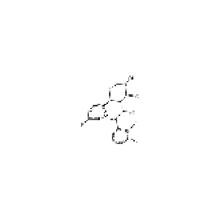 O=C(Nc1cccc(F)c1F)[C@H]1C(=O)N(O)CC[C@@H]1c1ccc(F)cc1